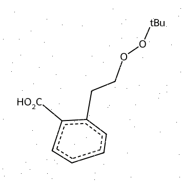 CC(C)(C)OOCCc1ccccc1C(=O)O